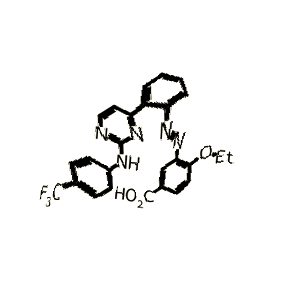 CCOc1ccc(C(=O)O)cc1N=Nc1ccccc1-c1ccnc(Nc2ccc(C(F)(F)F)cc2)n1